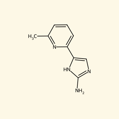 Cc1cccc(-c2cnc(N)[nH]2)n1